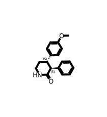 COc1ccc([C@H]2CCNC(=O)[C@@H]2c2ccccc2)cc1